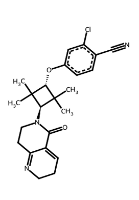 CC1(C)[C@H](Oc2ccc(C#N)c(Cl)c2)C(C)(C)[C@H]1N1CCC2=NCCC=C2C1=O